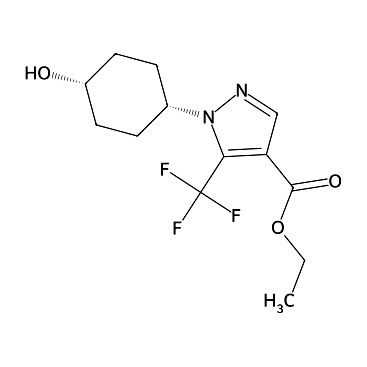 CCOC(=O)c1cnn([C@H]2CC[C@@H](O)CC2)c1C(F)(F)F